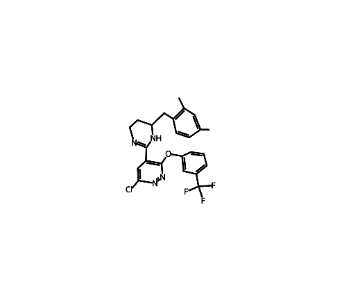 Cc1ccc(CC2CCN=C(c3cc(Cl)nnc3Oc3cccc(C(F)(F)F)c3)N2)c(C)c1